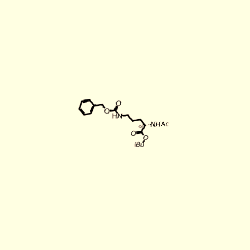 CCC(C)OC(=O)[C@H](CCCNC(=O)OCc1ccccc1)NC(C)=O